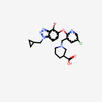 O=C(O)C1CCCN(Cc2cc(Cl)cnc2Oc2ccc3c(nnn3CC3CC3)c2Br)C1